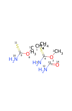 C.C.COC(N)=S.COC(N)=S.NC=O